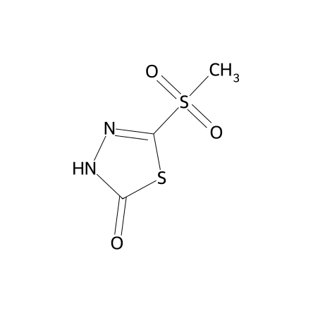 CS(=O)(=O)c1n[nH]c(=O)s1